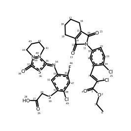 CCOC(=O)/C(Cl)=C/c1cc(N2C(=O)C3=C(CCCC3)C2=O)ccc1Cl.O=C(O)CSc1cc(N=c2sc(=O)n3n2CCCC3)c(F)cc1Cl